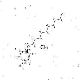 CCCCCCCCCCC[n+]1ccc(C)cc1.[Cl-]